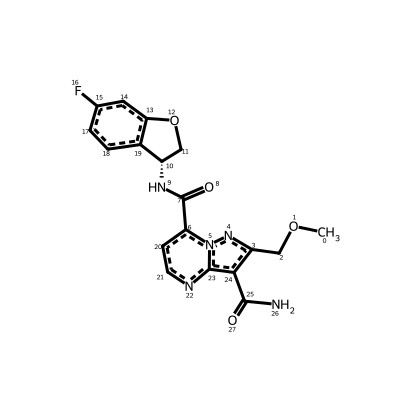 COCc1nn2c(C(=O)N[C@H]3COc4cc(F)ccc43)ccnc2c1C(N)=O